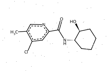 Cc1cnc(C(=O)N[C@H]2CCCC[C@@H]2O)cc1Cl